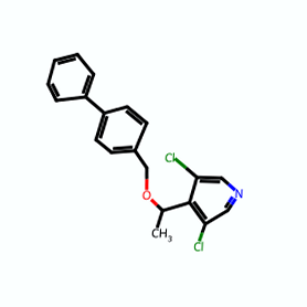 CC(OCc1ccc(-c2ccccc2)cc1)c1c(Cl)cncc1Cl